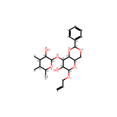 C=CCOC1OC2COC(c3ccccc3)OC2C(OC2OC(CC)C(C)C(C)C2O)C1O